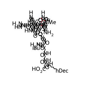 CCCCCCCCCCCCCCCC(=O)N[C@@H](CCC(=O)O)C(=O)NCCC(=O)NCCCC[C@H](NC(=O)[C@@H](N)[C@@H](C)CC)C(=O)N1CCN(c2ccc3ncn(CC(=O)N[C@@H](CCCNC(=N)N)C(=O)N[C@@H](Cc4c[nH]cn4)C(=O)N[C@@H](Cc4ccc(O)cc4)C(=O)N[C@@H](CC(C)C)C(=O)N[C@@H](CC(N)=O)C(=O)N[C@@H](Cc4c[nH]c5ccccc45)C(=O)NC)c(=O)c3c2)CC1